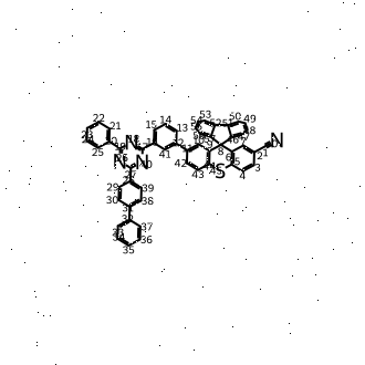 N#Cc1ccc2c(c1)C1(c3cc(-c4cccc(-c5nc(-c6ccccc6)nc(-c6ccc(-c7ccccc7)cc6)n5)c4)ccc3S2)c2ccccc2-c2ccccc21